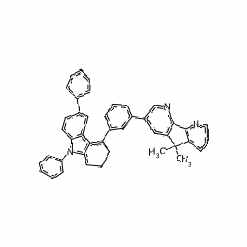 CC1(C)c2cccnc2-c2ncc(-c3cccc(C4=c5c(n(-c6ccccc6)c6ccc(-c7ccccc7)cc56)=CCC4)c3)cc21